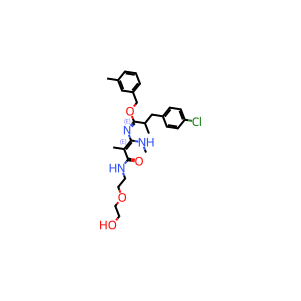 CNC(/N=C(/OCc1cccc(C)c1)C(C)Cc1ccc(Cl)cc1)=C(/C)C(=O)NCCOCCO